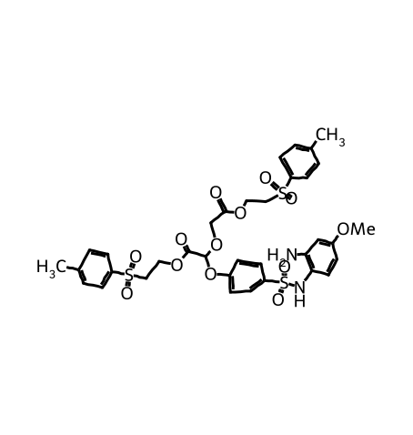 COc1ccc(NS(=O)(=O)c2ccc(OC(OCC(=O)OCCS(=O)(=O)c3ccc(C)cc3)C(=O)OCCS(=O)(=O)c3ccc(C)cc3)cc2)c(N)c1